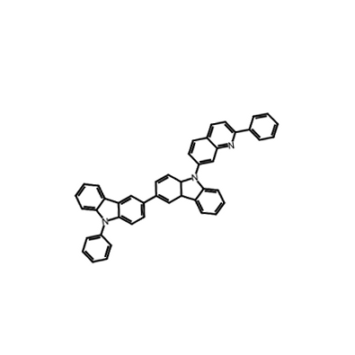 C1=CC2C(C=C1c1ccc3c(c1)c1ccccc1n3-c1ccccc1)c1ccccc1N2c1ccc2ccc(-c3ccccc3)nc2c1